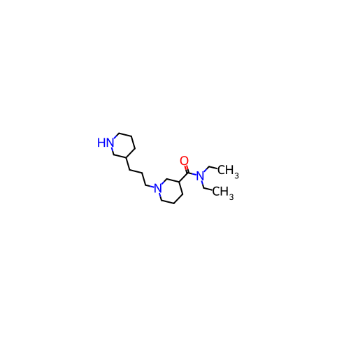 CCN(CC)C(=O)C1CCCN(CCCC2CCCNC2)C1